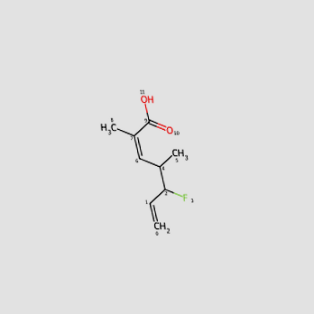 C=CC(F)C(C)C=C(C)C(=O)O